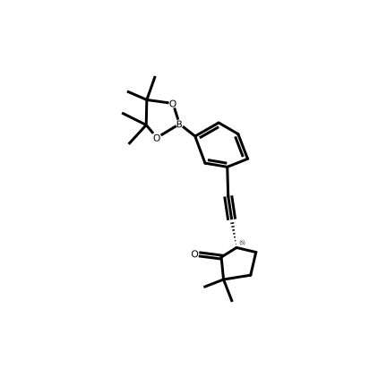 CC1(C)CC[C@@H](C#Cc2cccc(B3OC(C)(C)C(C)(C)O3)c2)C1=O